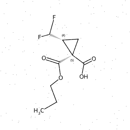 CCCOC(=O)[C@@]1(C(=O)O)C[C@H]1C(F)F